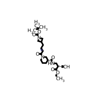 C#C[C@@H](CNC(=O)[C@@H]1CCCN(C(=O)/C=C/CC2CN(C(=O)OC(C)(C)C)C2)C1)C(=O)OCC